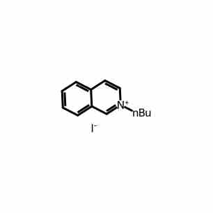 CCCC[n+]1ccc2ccccc2c1.[I-]